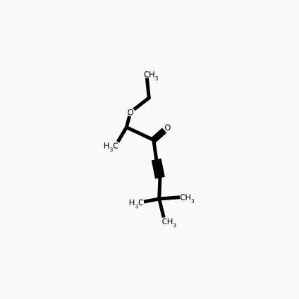 CCOC(C)C(=O)C#CC(C)(C)C